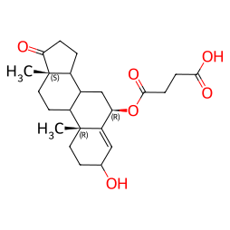 C[C@]12CCC(O)C=C1[C@H](OC(=O)CCC(=O)O)CC1C2CC[C@]2(C)C(=O)CCC12